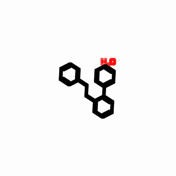 O.c1ccc(CCc2ccccc2-c2ccccc2)cc1